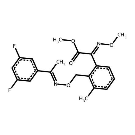 CO/N=C(/C(=O)OC)c1cccc(C)c1CO/N=C(\C)c1cc(F)cc(F)c1